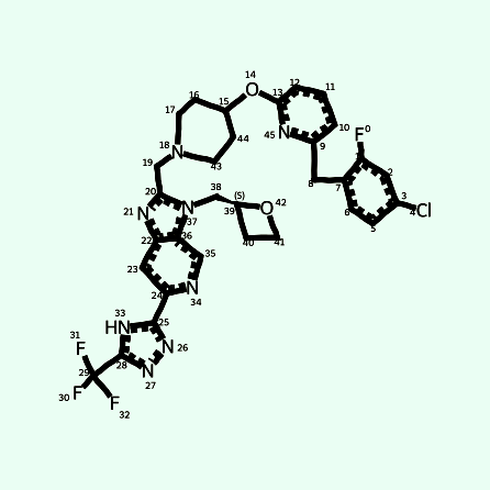 Fc1cc(Cl)ccc1Cc1cccc(OC2CCN(Cc3nc4cc(-c5nnc(C(F)(F)F)[nH]5)ncc4n3C[C@@H]3CCO3)CC2)n1